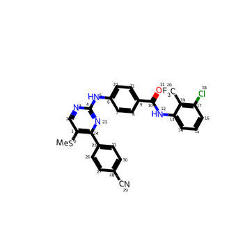 CSc1cnc(Nc2ccc(C(=O)Nc3cccc(Cl)c3C(F)(F)F)cc2)nc1-c1ccc(C#N)cc1